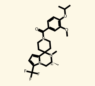 COc1cc(C(=O)N2CCC3(CC2)c2ccc(C(F)(F)F)n2C[C@@H](C)N3C)ccc1OC(C)C